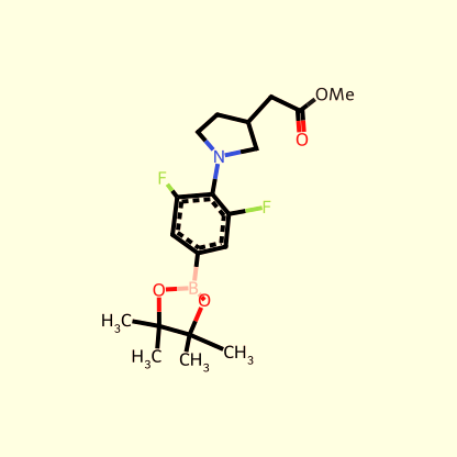 COC(=O)CC1CCN(c2c(F)cc(B3OC(C)(C)C(C)(C)O3)cc2F)C1